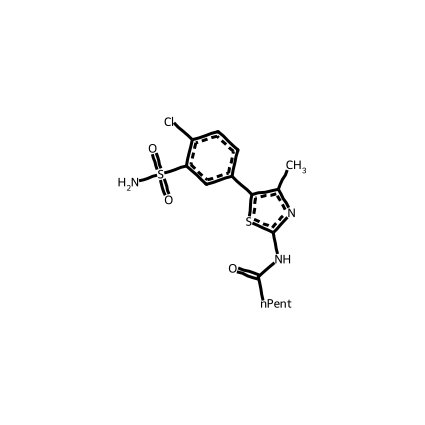 CCCCCC(=O)Nc1nc(C)c(-c2ccc(Cl)c(S(N)(=O)=O)c2)s1